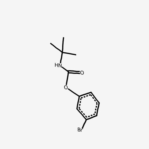 CC(C)(C)NC(=O)Oc1cccc(Br)c1